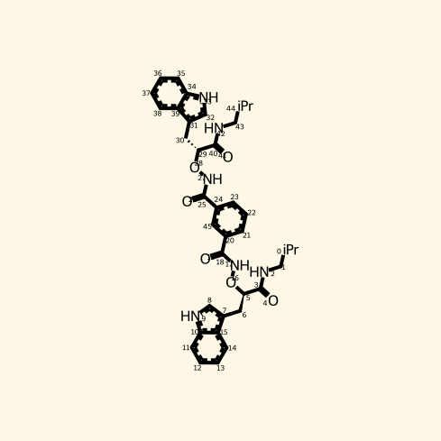 CC(C)CNC(=O)[C@@H](Cc1c[nH]c2ccccc12)ONC(=O)c1cccc(C(=O)NO[C@H](Cc2c[nH]c3ccccc23)C(=O)NCC(C)C)c1